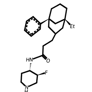 CC[C@@]12CCC[C@@](c3ccccc3)(CC(CCC(=O)N[C@H]3CCNC[C@@H]3F)C1)C2